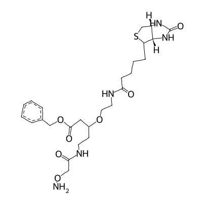 NOCC(=O)NCCC(CC(=O)OCc1ccccc1)OCCNC(=O)CCCCC1SC[C@@H]2NC(=O)N[C@H]12